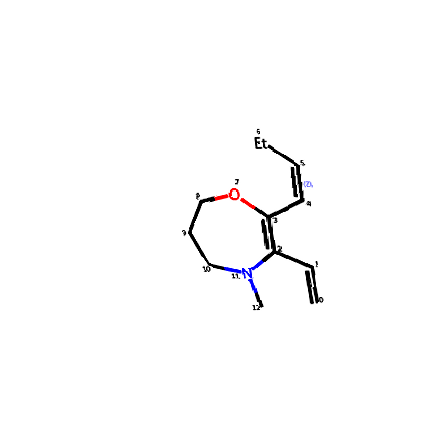 C=CC1=C(/C=C\CC)OCCCN1C